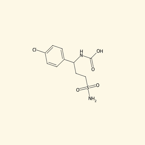 NS(=O)(=O)CCC(NC(=O)O)c1ccc(Cl)cc1